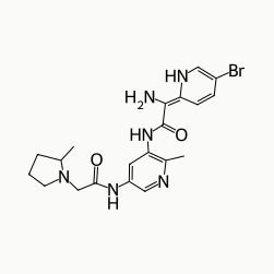 Cc1ncc(NC(=O)CN2CCCC2C)cc1NC(=O)/C(N)=C1\C=CC(Br)=CN1